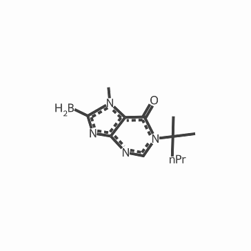 Bc1nc2ncn(C(C)(C)CCC)c(=O)c2n1C